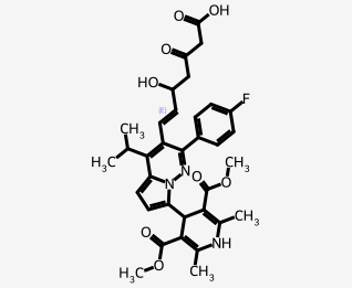 COC(=O)C1=C(C)NC(C)=C(C(=O)OC)C1c1ccc2c(C(C)C)c(/C=C/C(O)CC(=O)CC(=O)O)c(-c3ccc(F)cc3)nn12